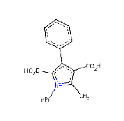 CCCn1c(C)c(C(=O)O)c(-c2ccccc2)c1C(=O)O